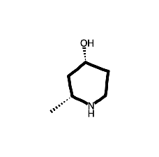 C[C@@H]1C[C@H](O)CCN1